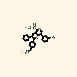 CC(C)c1cccc(-c2cnc(O)c3cc(-c4ccccc4)c(-c4ccc(CN)cc4)nc23)c1.Cl